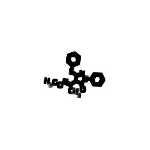 CO/N=C(\C)C1C(=O)N(c2ccccc2)N=C1Sc1ccccc1